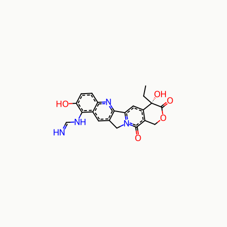 CC[C@@]1(O)C(=O)OCc2c1cc1n(c2=O)Cc2cc3c(NC=N)c(O)ccc3nc2-1